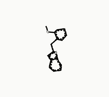 COc1ccccc1Cc1cc2ccccc2s1